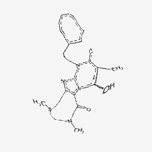 Cc1c(O)n2c3c(nc2n(Cc2ccccc2)c1=O)N(C)CN(C)C3=O